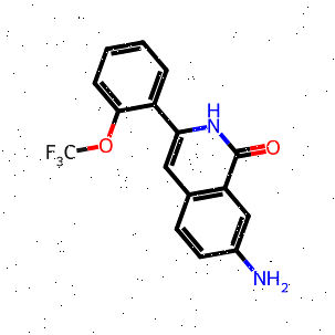 Nc1ccc2cc(-c3ccccc3OC(F)(F)F)[nH]c(=O)c2c1